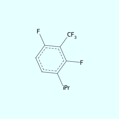 CC(C)c1ccc(F)c(C(F)(F)F)c1F